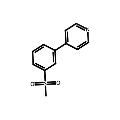 CS(=O)(=O)c1cccc(-c2ccncc2)c1